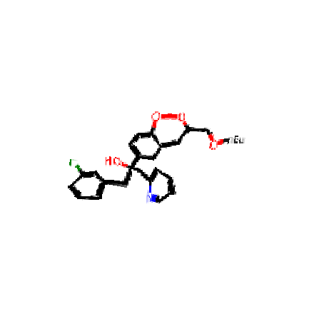 CCCCOCC1C=C2CC(C(O)(Cc3cccc(F)c3)c3ccccn3)=CC=C2OO1